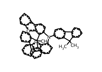 CC1(C)c2ccccc2-c2ccc(N(c3ccc4c(oc5ccccc54)c3C3(C)c4ccccc4-c4ccccc43)c3cccc4c3oc3ccccc34)cc21